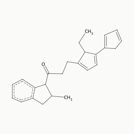 CCC1C(CCC(=O)C2c3ccccc3CC2C)=CC=C1C1=CC=CC1